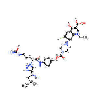 CCn1cc(C(=O)O)c(=O)c2cc(F)c(N3CCN(C(=O)OCc4ccc(NC(=O)[C@H](CCCNC(N)=O)n5cc([C@@H](N)CC(C)C)nn5)cc4)CC3)cc21